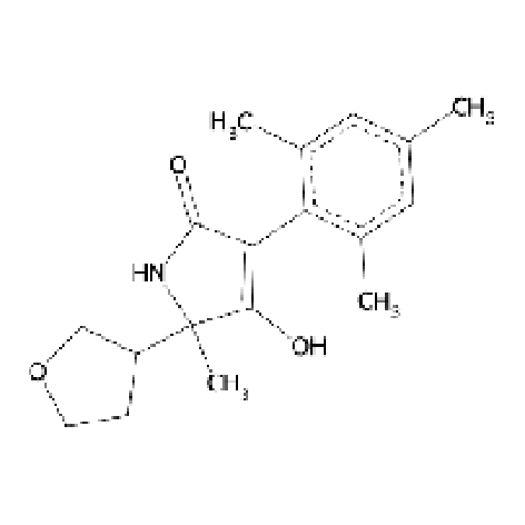 Cc1cc(C)c(C2=C(O)C(C)(C3CCOC3)NC2=O)c(C)c1